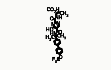 C[C@H](CNC(=O)c1ncc(C(=O)NC(C)(C)c2ccc(-c3ccc(OC(F)(F)F)cc3)cc2)c(O)n1)C(=O)O